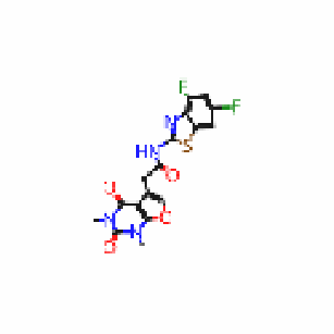 Cn1c(=O)c2c(CC(=O)Nc3nc4c(F)cc(F)cc4s3)coc2n(C)c1=O